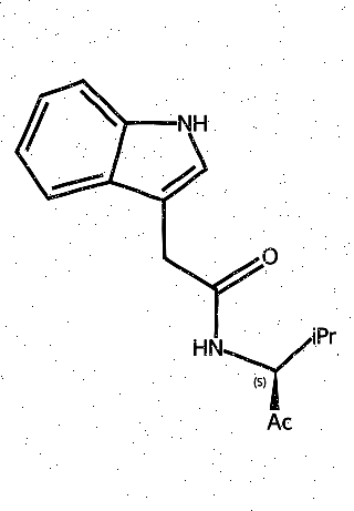 CC(=O)[C@@H](NC(=O)Cc1c[nH]c2ccccc12)C(C)C